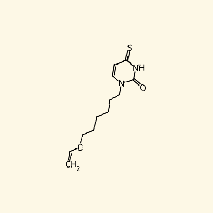 C=COCCCCCCn1ccc(=S)[nH]c1=O